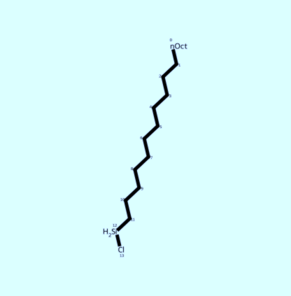 CCCCCCCCCCCCCCCCCCC[SiH2]Cl